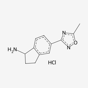 Cc1nc(-c2ccc3c(c2)CCC3N)no1.Cl